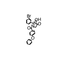 O=C1CN(C(=O)c2ccc(Oc3ccccc3)cc2)C(c2cccc(Br)c2)N1O